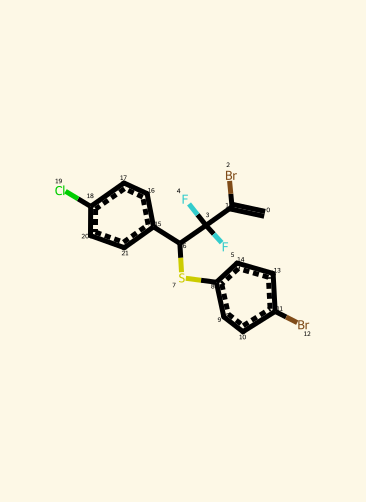 C=C(Br)C(F)(F)C(Sc1ccc(Br)cc1)c1ccc(Cl)cc1